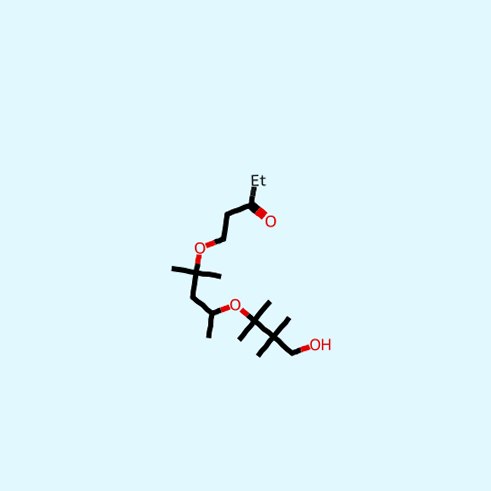 CCC(=O)CCOC(C)(C)CC(C)OC(C)(C)C(C)(C)CO